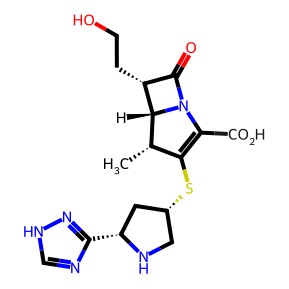 C[C@H]1C(S[C@@H]2CN[C@H](c3nc[nH]n3)C2)=C(C(=O)O)N2C(=O)[C@@H](CCO)[C@@H]12